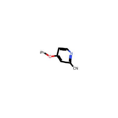 CC(C)Oc1ccnc(C#N)c1